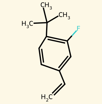 C=Cc1ccc(C(C)(C)C)c(F)c1